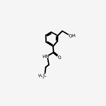 CCCNC(=O)c1cccc(CO)c1